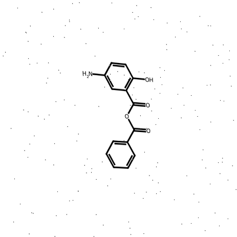 Nc1ccc(O)c(C(=O)OC(=O)c2ccccc2)c1